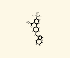 NC(=O)c1cc(C(F)(F)F)ccc1C1CCC(Cn2ncc3c2CCCC3)CC1